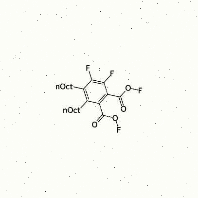 CCCCCCCCc1c(F)c(F)c(C(=O)OF)c(C(=O)OF)c1CCCCCCCC